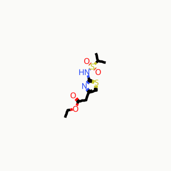 CCOC(=O)Cc1csc(NS(=O)(=O)C(C)C)n1